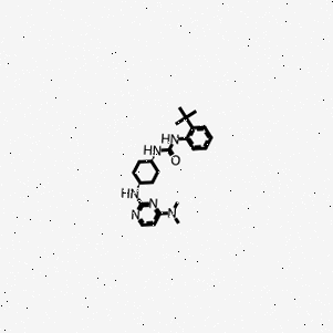 CN(C)c1ccnc(N[C@H]2CC[C@@H](NC(=O)Nc3ccccc3C(C)(C)C)CC2)n1